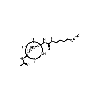 CC(=O)NC12CNCNCC(NC(=S)NCCCCN=C=S)(CNCNC1)CNCNC2